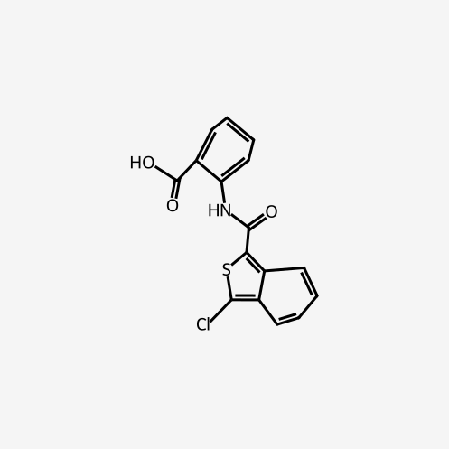 O=C(O)c1ccccc1NC(=O)c1sc(Cl)c2ccccc12